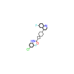 O=C(Nc1ccc(Cl)cc1F)C1CC2(CCC(c3ccnc4ccc(F)cc34)CC2)C1